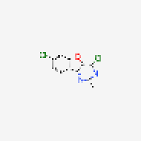 Cc1nc(Cl)c2oc3cc(Cl)ccc3c2n1